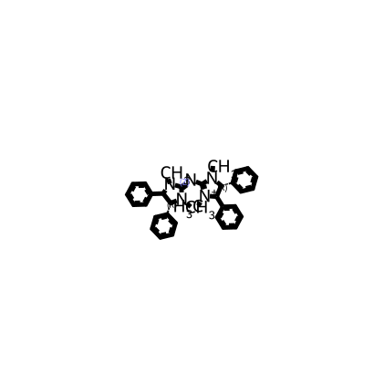 CN1/C(=N/C2=[N+](C)C(c3ccccc3)[C@@H](c3ccccc3)N2C)N(C)[C@H](c2ccccc2)C1c1ccccc1